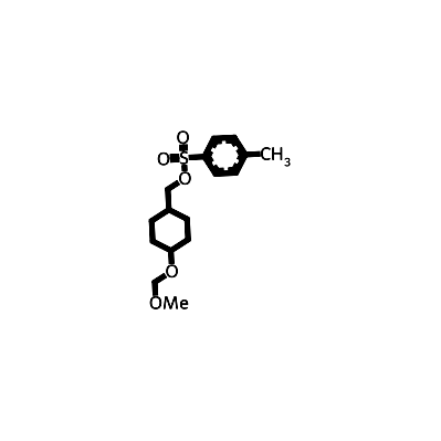 COCOC1CCC(COS(=O)(=O)c2ccc(C)cc2)CC1